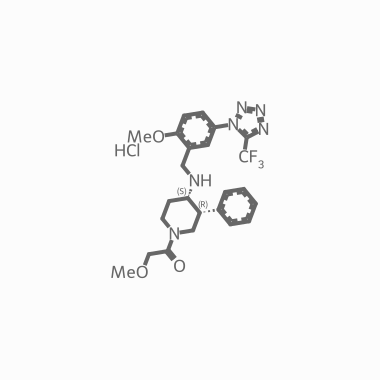 COCC(=O)N1CC[C@H](NCc2cc(-n3nnnc3C(F)(F)F)ccc2OC)[C@H](c2ccccc2)C1.Cl